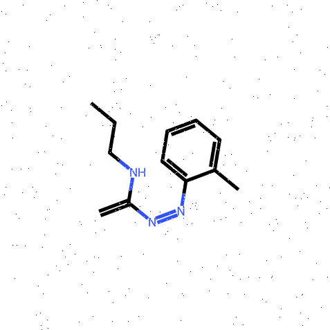 C=C(/N=N\c1ccccc1C)NCCC